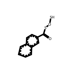 O=C(SOS)c1ccc2ccccc2c1